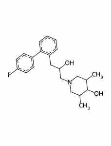 CC1CN(CC(O)Cc2ccccc2-c2ccc(F)cc2)CC(C)C1O